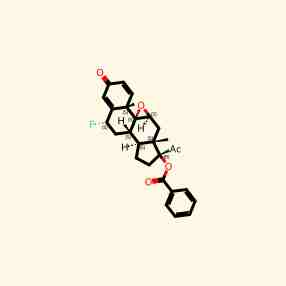 CC(=O)[C@@]1(OC(=O)c2ccccc2)CC[C@H]2[C@@H]3C[C@H](F)C4=CC(=O)C=C[C@]4(C)[C@@]34O[C@H]4C[C@@]21C